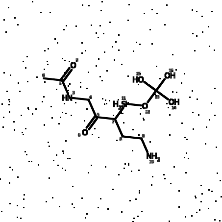 CC(=O)NCC(=O)C(CCN)[SiH2]OC(O)(O)O